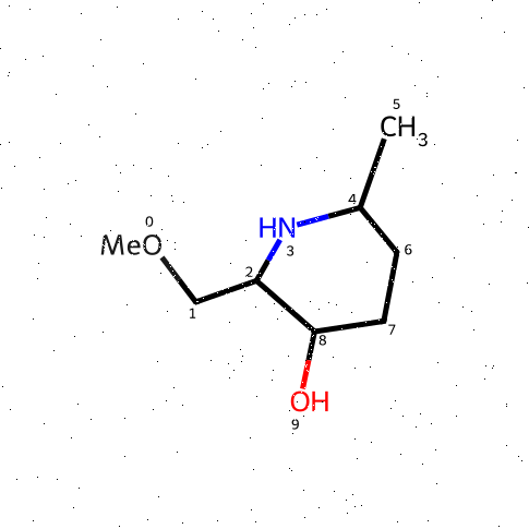 COCC1NC(C)CCC1O